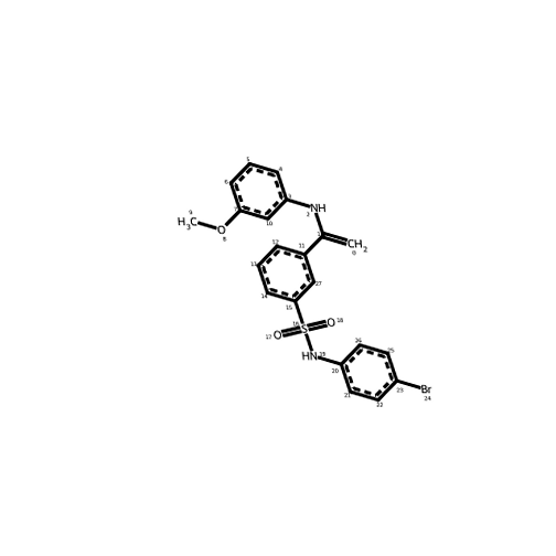 C=C(Nc1cccc(OC)c1)c1cccc(S(=O)(=O)Nc2ccc(Br)cc2)c1